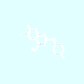 Cc1nc2nc(NC3CCN(C)CC3)nc(N)c2cc1Br